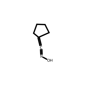 ON=C=C1CCCC1